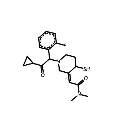 CN(C)C(=O)/C=C1/CN(C(C(=O)C2CC2)c2ccccc2F)CCC1S